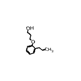 C=CCc1ccccc1OCCCO